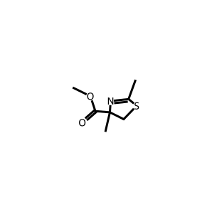 COC(=O)C1(C)CSC(C)=N1